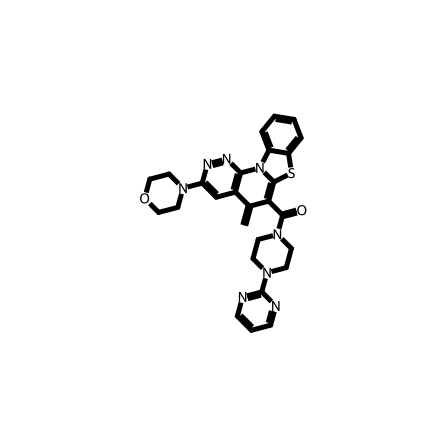 C=C1C(C(=O)N2CCN(c3ncccn3)CC2)=C2Sc3ccccc3N2c2nnc(N3CCOCC3)cc21